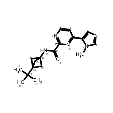 Cn1cncc1-c1ccnc(C(=O)NC23CC(C(C)(C)O)(C2)C3)n1